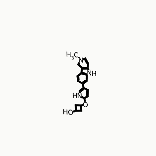 CN1C=Cc2[nH]c3cc(C4=CNC(OC5CC(O)C5)C=C4)ccc3c2C1